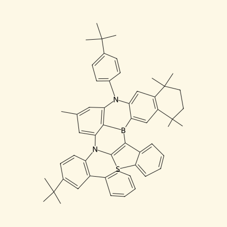 Cc1cc2c3c(c1)N(c1ccc(C(C)(C)C)cc1-c1ccccc1)c1sc4ccccc4c1B3c1cc3c(cc1N2c1ccc(C(C)(C)C)cc1)C(C)(C)CCC3(C)C